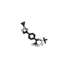 CC(C)(C)[S@+]([O-])N=C(C(=O)O)c1ccc(-c2cnn(C3CC3)n2)cc1